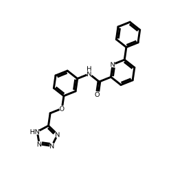 O=C(Nc1cccc(OCc2nnn[nH]2)c1)c1cccc(-c2ccccc2)n1